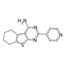 Nc1nc(-c2ccncc2)nc2sc3c(c12)CCCC3